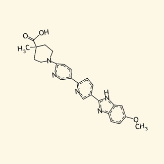 COc1ccc2nc(-c3ccc(-c4ccc(N5CCC(C)(C(=O)O)CC5)nc4)nc3)[nH]c2c1